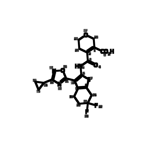 O=C(O)C1=C(C(=O)Nc2sc3c(c2-c2nc(C4CC4)no2)CCC(F)(F)C3)CCOC1